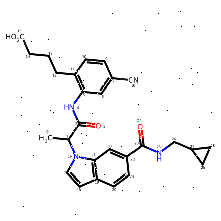 CC(C(=O)Nc1cc(C#N)ccc1CCCC(=O)O)n1ccc2ccc(C(=O)NCC3CC3)cc21